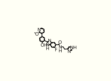 COc1ncccc1-c1ccc(O)c(-c2nc3cc(C(=O)NCCc4c[nH]cn4)c(F)cc3[nH]2)c1